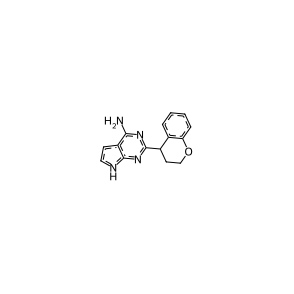 Nc1nc(C2CCOc3ccccc32)nc2[nH]ccc12